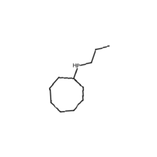 CCCPC1CCCCCCC1